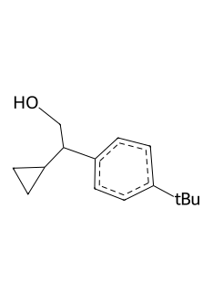 CC(C)(C)c1ccc(C(CO)C2CC2)cc1